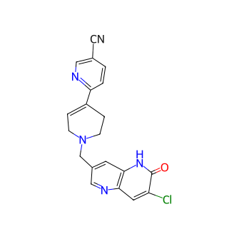 N#Cc1ccc(C2=CCN(Cc3cnc4cc(Cl)c(=O)[nH]c4c3)CC2)nc1